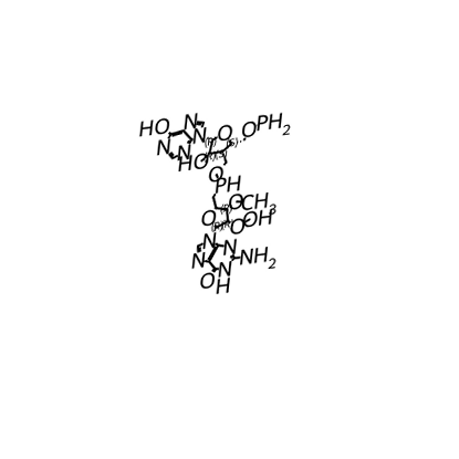 CO[C@@H]1C(CPOC[C@H]2[C@@H](O)[C@H](n3cnc4c(O)ncnc43)O[C@@H]2COP)O[C@@H](n2cnc3c(=O)[nH]c(N)nc32)[C@@H]1OO